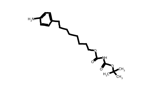 CC(C)(C)OC(=O)NC(=O)OCCCCCCCCc1ccc(N)cc1